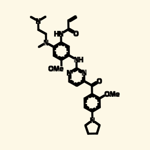 C=CC(=O)Nc1cc(Nc2nccc(C(=O)c3ccc(N4CCCC4)cc3OC)n2)c(OC)cc1N(C)CCN(C)C